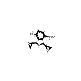 C(OCC1CO1)C1CO1.CC(=O)Nc1ccc(O)cc1